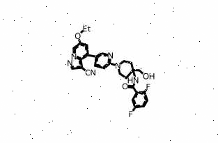 CCOc1cc(-c2ccc(N3CCC(CO)(NC(=O)c4cc(F)ccc4F)CC3)nc2)c2c(C#N)cnn2c1